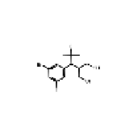 CC(C)(F)C(c1cc(F)cc(Br)c1)C(CO)CO